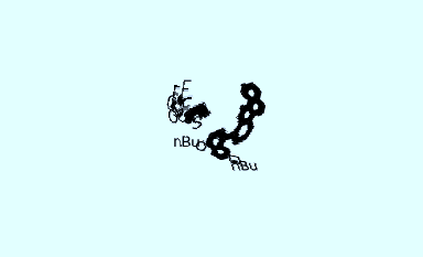 CCCCOc1ccc2c(OCCCC)ccc(C3CCCc4c3ccc3c4ccc4ccccc43)c2c1.O=S(=O)(O)C(F)(F)F.c1ccsc1